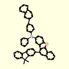 CC1(C)c2ccccc2-c2ccc(-c3cc4ccccc4c4oc5ccc(N(c6ccccc6)c6ccc(-c7ccc8ccccc8c7)cc6)cc5c34)cc21